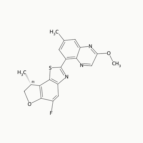 COc1cnc2c(-c3nc4cc(F)c5c(c4s3)[C@@H](C)CO5)cc(C)cc2n1